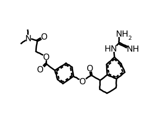 CN(C)C(=O)COC(=O)c1ccc(OC(=O)C2CCCc3ccc(NC(=N)N)cc32)cc1